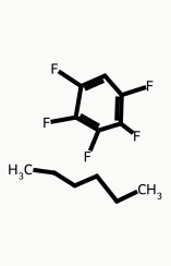 CCCCCC.Fc1cc(F)c(F)c(F)c1F